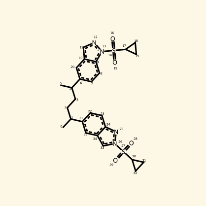 CC(CCC(C)c1ccc2c(cnn2S(=O)(=O)C2CC2)c1)c1ccc2nn(S(=O)(=O)C3CC3)cc2c1